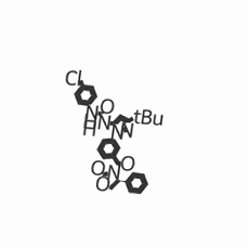 CC(C)(C)c1cc(NC(=O)Nc2ccc(Cl)cc2)n(-c2cccc(C(=O)N3C(=O)OC[C@H]3c3ccccc3)c2)n1